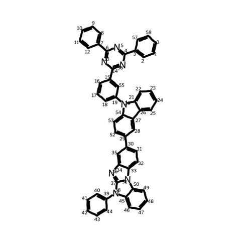 c1ccc(-c2nc(-c3ccccc3)nc(-c3cccc(-n4c5ccccc5c5cc(-c6ccc7c(c6)nc6n(-c8ccccc8)c8ccccc8n76)ccc54)c3)n2)cc1